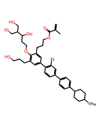 C=C(C)C(=O)OCCCc1cc(-c2ccc(-c3ccc(C4CCC(CCCCC)CC4)cc3)cc2CC)cc(CCCO)c1OCCC(O)C(CO)CO